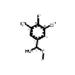 COC(O)c1cc(N)c(F)c(Cl)c1